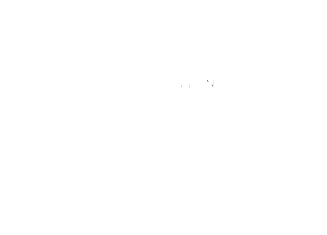 COc1ccc(/C=C/c2ccccc2[N+](=O)[O-])cc1OC